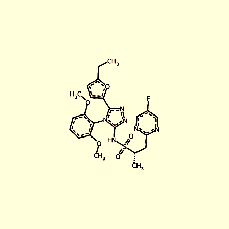 CCc1ccc(-c2nnc(NS(=O)(=O)[C@@H](C)Cc3ncc(F)cn3)n2-c2c(OC)cccc2OC)o1